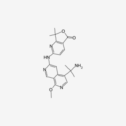 COc1ncc(C(C)(C)N)c2cc(Nc3ccc4c(n3)C(C)(C)OC4=O)ncc12